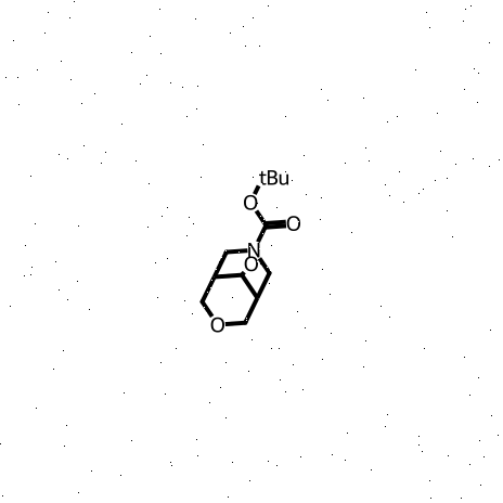 CC(C)(C)OC(=O)N1CC2COCC(C1)C2[O]